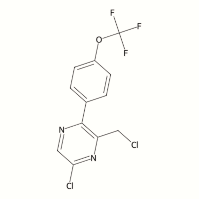 FC(F)(F)Oc1ccc(-c2ncc(Cl)nc2CCl)cc1